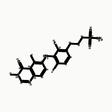 Cc1c(Nc2c(F)ccc(CCCS(N)(=O)=O)c2F)ccc2ncn(C)c(=O)c12